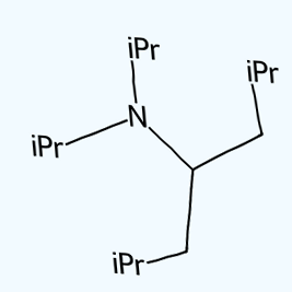 CC(C)CC(CC(C)C)N(C(C)C)C(C)C